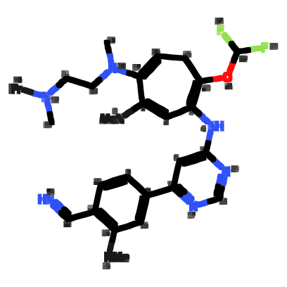 CNC1=CC(Nc2cc(-c3ccc(C=N)c(NC)c3)ncn2)=C(OC(F)F)CC=C1N(C)CCN(C)C(C)C